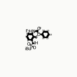 CCC(C)S(=O)(=O)Nc1ccc(F)c(NC(=O)Oc2ccccc2)c1F